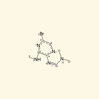 CNc1nc(Br)cnc1/N=C\N(C)C